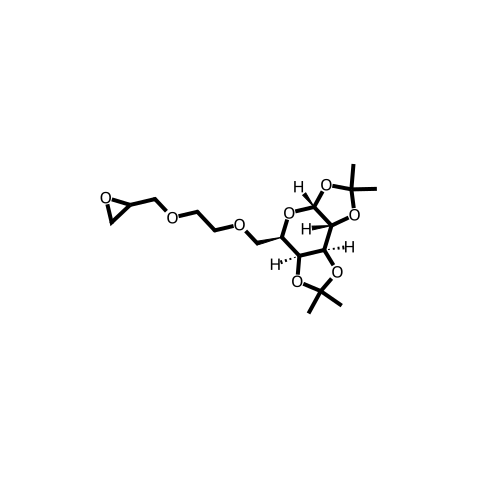 CC1(C)O[C@H]2[C@@H](O1)[C@@H](COCCOCC1CO1)O[C@@H]1OC(C)(C)O[C@@H]12